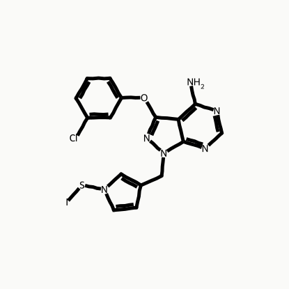 Nc1ncnc2c1c(Oc1cccc(Cl)c1)nn2Cc1ccn(SI)c1